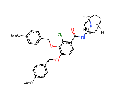 COc1ccc(COc2ccc(C(=O)N[C@H]3C[C@H]4CC[C@@H](C3)N4C)c(Cl)c2OCc2ccc(OC)cc2)cc1